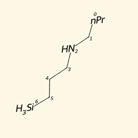 CCCCNCCC[SiH3]